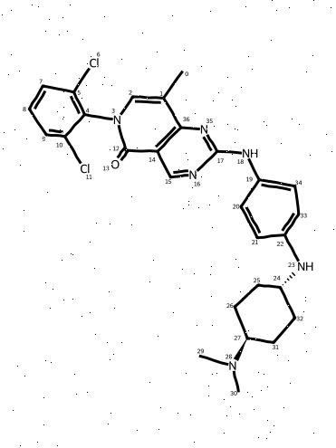 Cc1cn(-c2c(Cl)cccc2Cl)c(=O)c2cnc(Nc3ccc(N[C@H]4CC[C@H](N(C)C)CC4)cc3)nc12